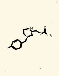 CC(=O)OCC1CN(Cc2ccc(F)cc2)CCN1